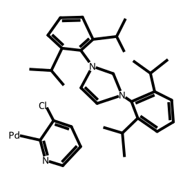 CC(C)c1cccc(C(C)C)c1N1C=CN(c2c(C(C)C)cccc2C(C)C)C1.Clc1cccn[c]1[Pd]